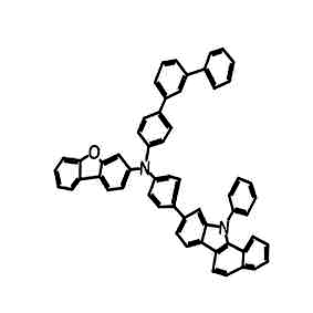 c1ccc(-c2cccc(-c3ccc(N(c4ccc(-c5ccc6c7ccc8ccccc8c7n(-c7ccccc7)c6c5)cc4)c4ccc5c(c4)oc4ccccc45)cc3)c2)cc1